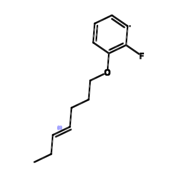 CC/C=C/CCCOc1ccc[c]c1F